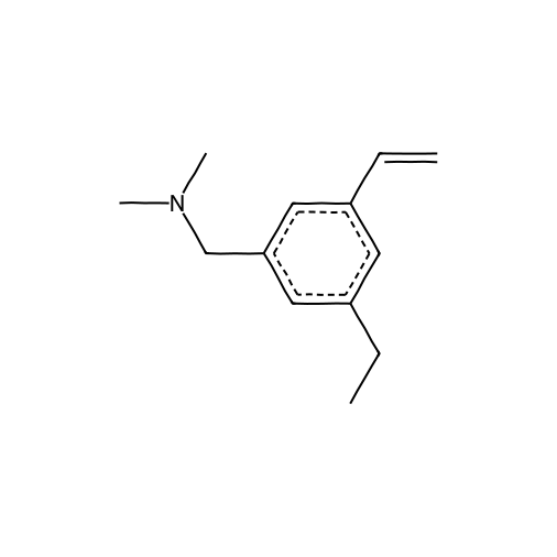 C=Cc1cc(CC)cc(CN(C)C)c1